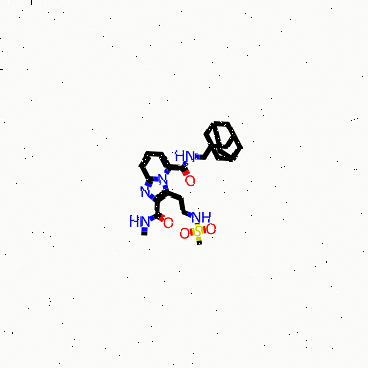 CNC(=O)c1nc2cccc(C(=O)NCC34CC5CC(CC(C5)C3)C4)n2c1CCNS(C)(=O)=O